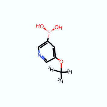 [2H]C([2H])([2H])Oc1cncc(B(O)O)c1